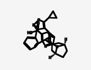 O=C(O)c1ccc(N2[C@@H]3CC[C@H]2C[C@@H](OCc2c(-c4ccccc4C4CC4)noc2C2CC2)C3)nc1